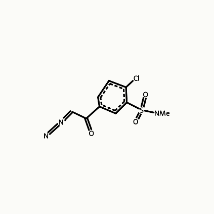 CNS(=O)(=O)c1cc(C(=O)C=[N+]=[N-])ccc1Cl